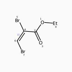 CCOC(=O)/C(Br)=C\Br